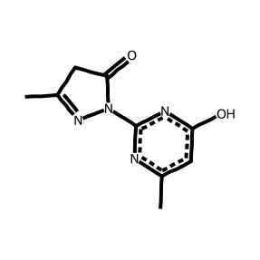 CC1=NN(c2nc(C)cc(O)n2)C(=O)C1